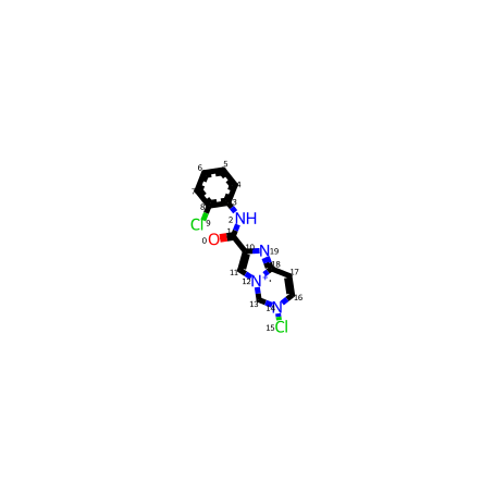 O=C(Nc1ccccc1Cl)C1=C[N+]2CN(Cl)C=CC2=N1